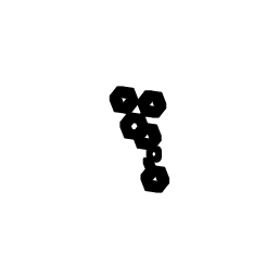 c1ccc(COc2ccc3c(c2)CC[C@H](c2ccccc2)[C@@H]3c2ccccc2)cc1